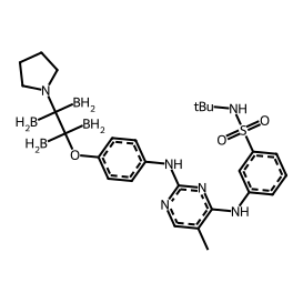 BC(B)(Oc1ccc(Nc2ncc(C)c(Nc3cccc(S(=O)(=O)NC(C)(C)C)c3)n2)cc1)C(B)(B)N1CCCC1